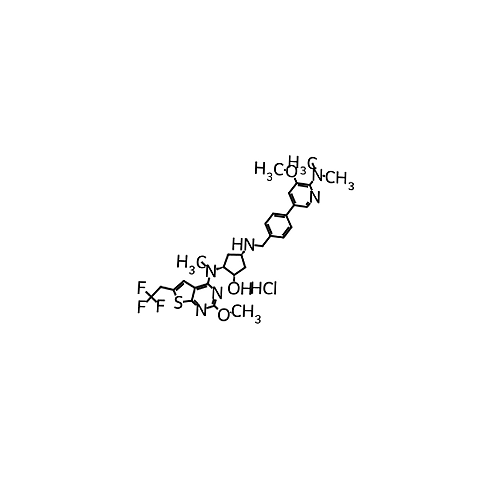 COc1nc(N(C)[C@H]2C[C@@H](NCc3ccc(-c4cnc(N(C)C)c(OC)c4)cc3)C[C@H]2O)c2cc(CC(F)(F)F)sc2n1.Cl